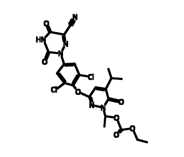 CCOC(=O)OC(C)n1nc(Oc2c(Cl)cc(-n3nc(C#N)c(=O)[nH]c3=O)cc2Cl)cc(C(C)C)c1=O